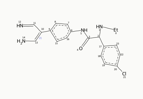 CCNC(C(=O)Nc1ccc(/C(C=N)=C/N)cc1)c1ccc(Cl)cc1